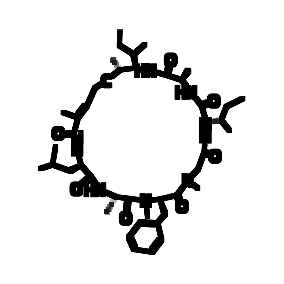 CCC(C)[C@@H]1NC(=O)CN(C)C(=O)[C@@H](Cc2ccccc2)N(C)C(=O)[C@H](C)NC(=O)[C@@H](CC(C)C)NC(=O)/C(C)=C/CC[C@H](C)[C@@H](C(C)CC)NC(=O)[C@@H](C)NC1=O